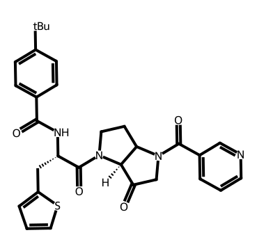 CC(C)(C)c1ccc(C(=O)N[C@@H](Cc2cccs2)C(=O)N2CCC3[C@H]2C(=O)CN3C(=O)c2cccnc2)cc1